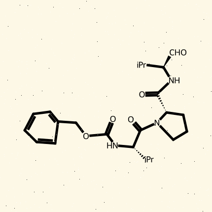 CC(C)[C@H](NC(=O)OCc1ccccc1)C(=O)N1CCC[C@H]1C(=O)N[C@H](C=O)C(C)C